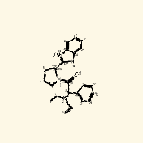 CCN(CC)C(C(=O)N1CCC[C@H]1c1nc2ccccc2[nH]1)c1ccccc1